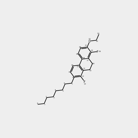 CCCCCCCCc1ccc2c(c1F)CCc1c-2ccc(OCC)c1F